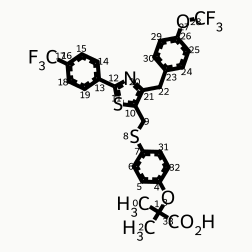 CC(C)(Oc1ccc(SCc2sc(-c3ccc(C(F)(F)F)cc3)nc2Cc2ccc(OC(F)(F)F)cc2)cc1)C(=O)O